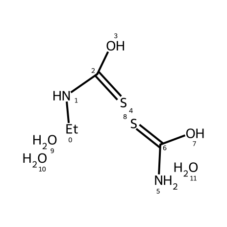 CCNC(O)=S.NC(O)=S.O.O.O